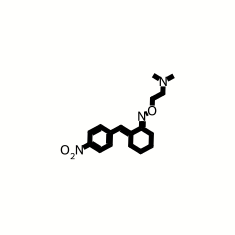 CN(C)CCON=C1CCCCC1=Cc1ccc([N+](=O)[O-])cc1